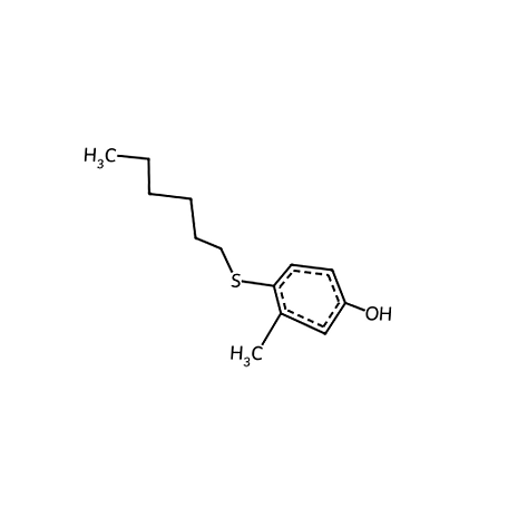 CCCCCCSc1ccc(O)cc1C